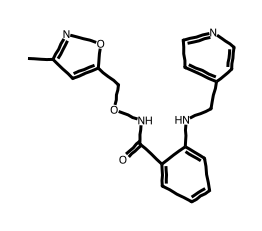 Cc1cc(CONC(=O)c2ccccc2NCc2ccncc2)on1